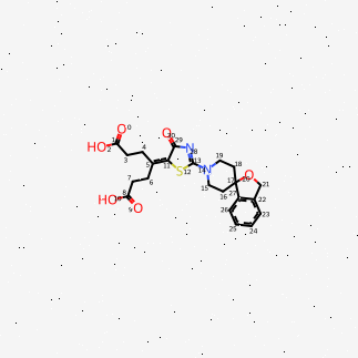 O=C(O)CCC(CCC(=O)O)=C1SC(N2CCC3(CC2)OCc2ccccc23)=NC1=O